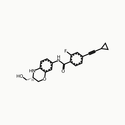 O=C(Nc1ccc2c(c1)OC[C@H](CO)N2)c1ccc(C#CC2CC2)cc1F